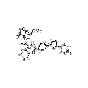 CO[C@@H]1CN(C(=O)[C@@H](NC(=O)c2ccc(-c3csc(N4CCN(C)CC4)n3)cc2)C2CCCCC2)[C@@H]2C(=O)CO[C@@H]21